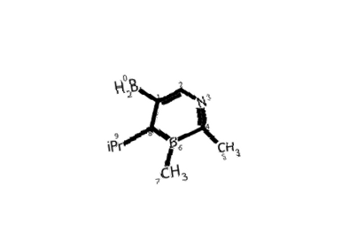 BC1=CN=C(C)B(C)C1C(C)C